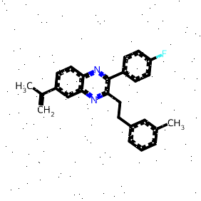 C=C(C)c1ccc2nc(-c3ccc(F)cc3)c(CCc3cccc(C)c3)nc2c1